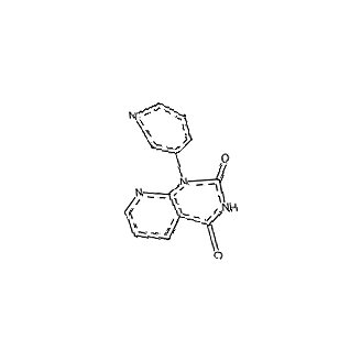 O=c1[nH]c(=O)n(-c2cccnc2)c2ncccc12